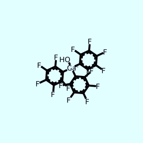 [OH][Ga-]([c]1c(F)c(F)c(F)c(F)c1F)([c]1c(F)c(F)c(F)c(F)c1F)[c]1c(F)c(F)c(F)c(F)c1F